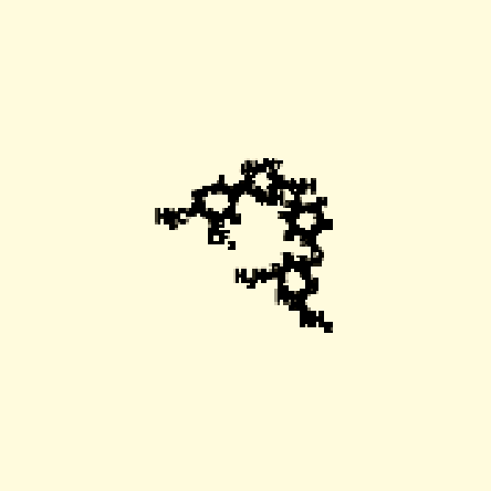 Cc1ccc(-c2nnc(Nc3ccc(Oc4cc(N)nc(N)n4)cc3)[nH]2)cc1C(F)(F)F